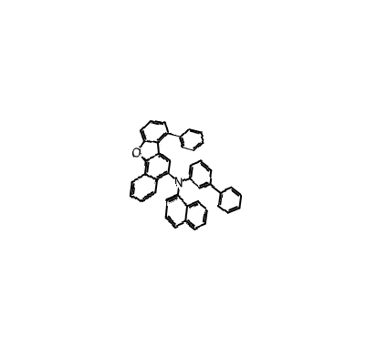 c1ccc(-c2cccc(N(c3cccc4ccccc34)c3cc4c(oc5cccc(-c6ccccc6)c54)c4ccccc34)c2)cc1